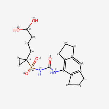 O=C(Nc1c2c(cc3c1CCC3)CCC2)NS(=O)(=O)C1(CCCB(O)O)CC1